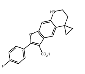 O=C(O)c1c(-c2ccc(F)cc2)oc2cc3c(cc12)C1(CCN3)CC1